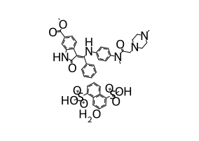 COC(=O)c1ccc2c(c1)NC(=O)C2=C(Nc1ccc(N(C)C(=O)CN2CCN(C)CC2)cc1)c1ccccc1.O.O=S(=O)(O)c1cccc2c(S(=O)(=O)O)cccc12